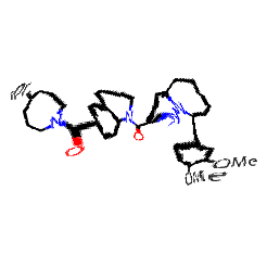 COc1ccc(/C2=C/C=C\CCc3cc(C(=O)N4CCCc5cc(C(=O)N6CCCC(C(C)C)CC6)ccc54)nn32)cc1OC